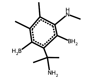 Bc1c(C)c(C)c(NC)c(B)c1C(C)(C)N